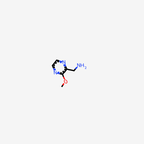 COc1nccnc1CN